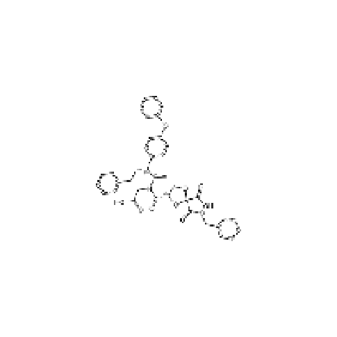 C[C@H]([C@H](CCc1ccccc1)c1ccc(Oc2ccccc2)cc1)N(CC(=O)O)C(=O)[C@@H]1COC(C(=O)O)(C(=O)OCc2ccccc2)O1